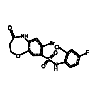 O=C1CCOc2cc(S(=O)(=O)Nc3ccc(F)cc3Cl)c(Br)cc2N1